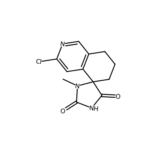 CN1C(=O)NC(=O)C12CCCc1cnc(Cl)cc12